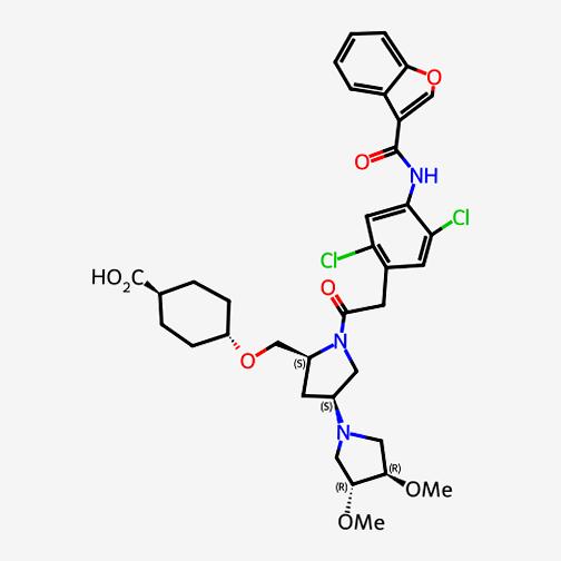 CO[C@@H]1CN([C@H]2C[C@@H](CO[C@H]3CC[C@H](C(=O)O)CC3)N(C(=O)Cc3cc(Cl)c(NC(=O)c4coc5ccccc45)cc3Cl)C2)C[C@H]1OC